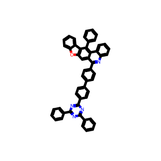 c1ccc(-c2nc(-c3ccccc3)nc(-c3ccc(-c4ccc(-c5nc6ccccc6c6c(-c7ccccc7)c7c(cc56)oc5ccccc57)cc4)cc3)n2)cc1